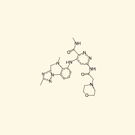 CNC(=O)c1nnc(NC(=O)CN2CCOCC2)cc1Nc1cccc2c1N(C)Cc1nc(C)nn1-2